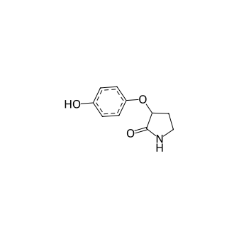 O=C1NCCC1Oc1ccc(O)cc1